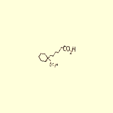 O=C(O)CCCCCC1(CC(=O)O)CCCCC1